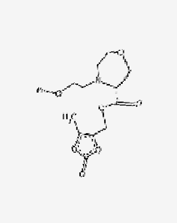 Cc1oc(=O)oc1COC(=O)[C@H]1COCCN1CCOC(C)C